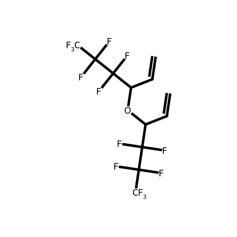 C=CC(OC(C=C)C(F)(F)C(F)(F)C(F)(F)F)C(F)(F)C(F)(F)C(F)(F)F